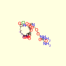 COc1cc2cc(c1Cl)N(C)C(=O)C[C@H](OC(=O)[C@H](C)N(C)C(=O)CCOCCOCCNC(=O)[C@@H](N)CC(N)=O)[C@]1(C)OC1[C@H](C)[C@@H]1C[C@@](O)(NC(=O)O1)[C@H](O)/C=C/C=C(\C)C2